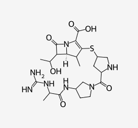 CC(NC(=N)N)C(=O)NC1CCN(C(=O)C2CC(SC3=C(C(=O)O)N4C(=O)C(C(C)O)[C@@H]4C3C)CN2)C1